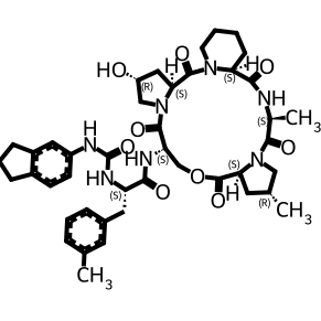 Cc1cccc(C[C@H](NC(=O)Nc2ccc3c(c2)CCC3)C(=O)N[C@H]2COC(=O)[C@@H]3C[C@@H](C)CN3C(=O)[C@H](C)NC(=O)[C@@H]3CCCCN3C(=O)[C@@H]3C[C@@H](O)CN3C2=O)c1